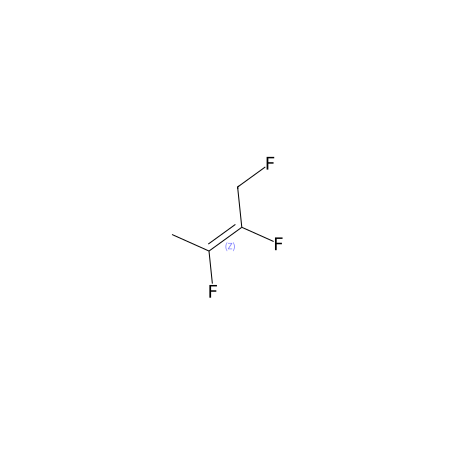 C/C(F)=C(/F)CF